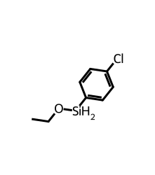 CCO[SiH2]c1ccc(Cl)cc1